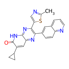 Cc1ncc(-c2nc3[nH]c(=O)c(C4CC4)cc3nc2-c2ccc3ncccc3c2)s1